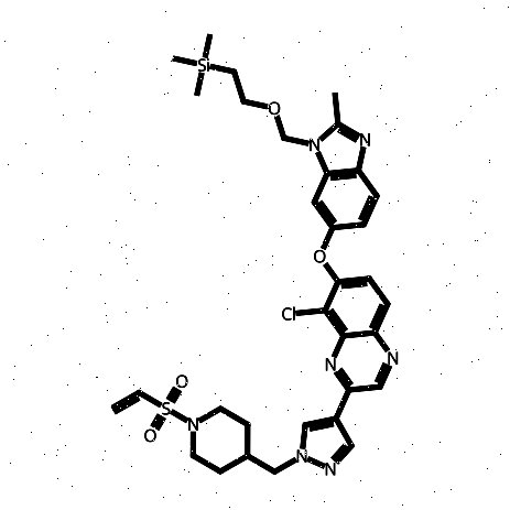 C=CS(=O)(=O)N1CCC(Cn2cc(-c3cnc4ccc(Oc5ccc6nc(C)n(COCC[Si](C)(C)C)c6c5)c(Cl)c4n3)cn2)CC1